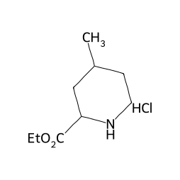 CCOC(=O)C1CC(C)CCN1.Cl